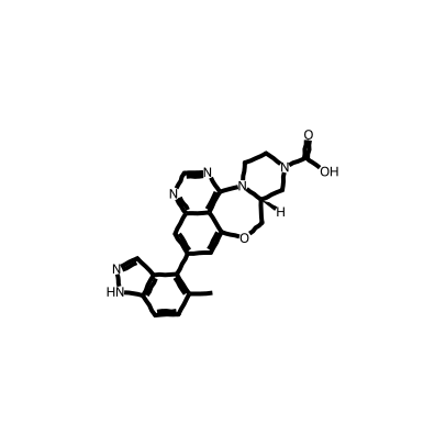 Cc1ccc2[nH]ncc2c1-c1cc2c3c(ncnc3c1)N1CCN(C(=O)O)C[C@@H]1CO2